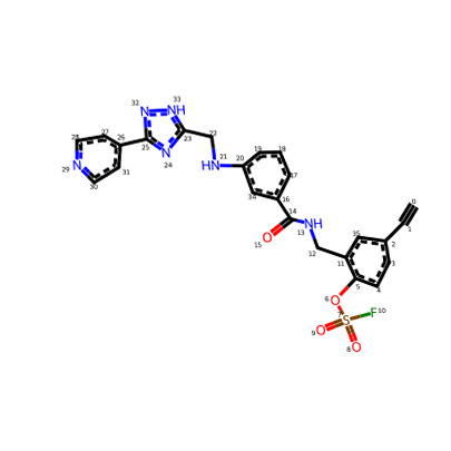 C#Cc1ccc(OS(=O)(=O)F)c(CNC(=O)c2cccc(NCc3nc(-c4ccncc4)n[nH]3)c2)c1